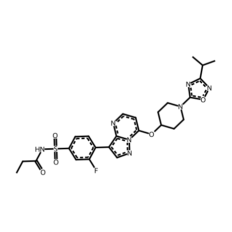 CCC(=O)NS(=O)(=O)c1ccc(-c2cnn3c(OC4CCN(c5nc(C(C)C)no5)CC4)ccnc23)c(F)c1